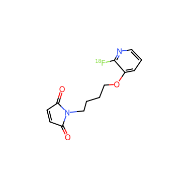 O=C1C=CC(=O)N1CCCCOc1cccnc1[18F]